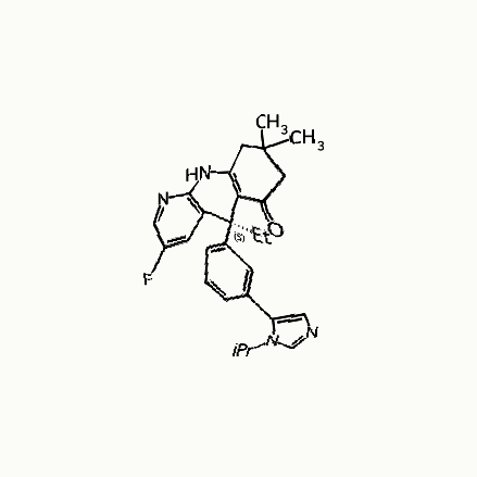 CC[C@@]1(c2cccc(-c3cncn3C(C)C)c2)C2=C(CC(C)(C)CC2=O)Nc2ncc(F)cc21